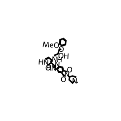 COc1ccccc1OCC(O)CNc1cc[nH]c(=O)c1-c1nc2cc3c(cc2[nH]1)C(=O)N(C1CCN(C)CC1)C3=O